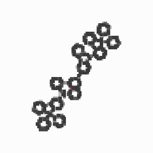 c1ccc(N(c2ccc3c(c2)-c2ccccc2C3(c2ccccc2)c2ccccc2)c2ccccc2-c2cccc(-c3ccc4c(c3)c3ccccc3n4-c3cccc4c3-c3ccccc3C4(c3ccccc3)c3ccccc3)c2)cc1